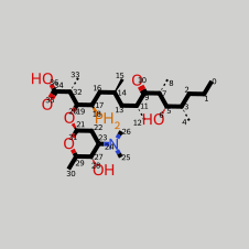 CCC[C@H](C)[C@H](O)[C@@H](C)C(=O)[C@H](C)C[C@H](C)C[C@@H](P)C(O[C@H]1CC(N(C)C)[C@H](O)C(C)O1)[C@@H](C)C(=O)O